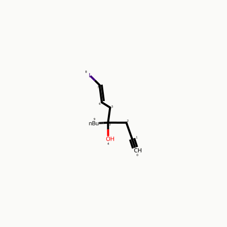 C#CCC(O)(C/C=C/I)CCCC